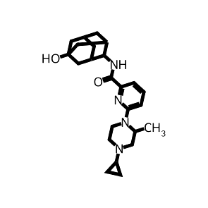 CC1CN(C2CC2)CCN1c1cccc(C(=O)NC2C3CC4CC2CC(O)(C4)C3)n1